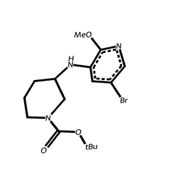 COc1ncc(Br)cc1NC1CCCN(C(=O)OC(C)(C)C)C1